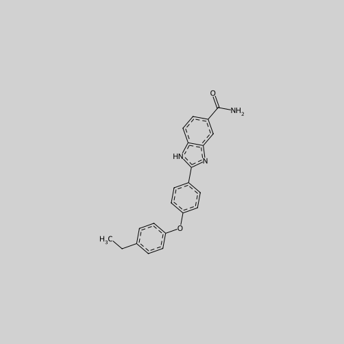 CCc1ccc(Oc2ccc(-c3nc4cc(C(N)=O)ccc4[nH]3)cc2)cc1